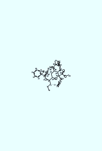 CC[C@@H](C)[C@@H](OC(=O)c1ccccc1)C1O[C@@](N=[N+]=[N-])(C(=O)OC)C(N=[N+]=[N-])[C@H](NC(C)=O)[C@H]1C(F)(F)F